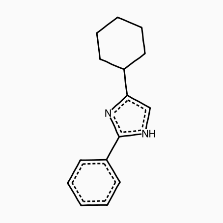 c1ccc(-c2nc(C3CCCCC3)c[nH]2)cc1